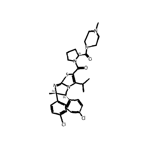 CC(C)C1=C(C(=O)N2CCC[C@H]2C(=O)N2CCN(C)CC2)SC2=N[C@@](C)(c3ccc(Cl)cc3)[C@@H](c3ccc(Cl)cc3)N21